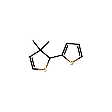 CC1(C)C=CSC1c1cccs1